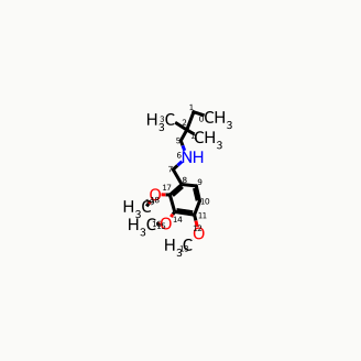 CCC(C)(C)CNCc1ccc(OC)c(OC)c1OC